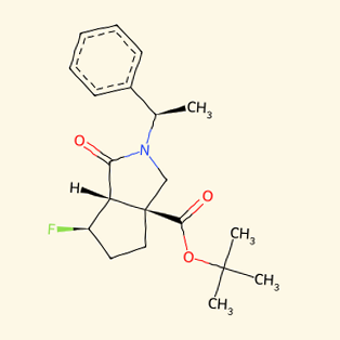 C[C@H](c1ccccc1)N1C[C@]2(C(=O)OC(C)(C)C)CC[C@@H](F)[C@@H]2C1=O